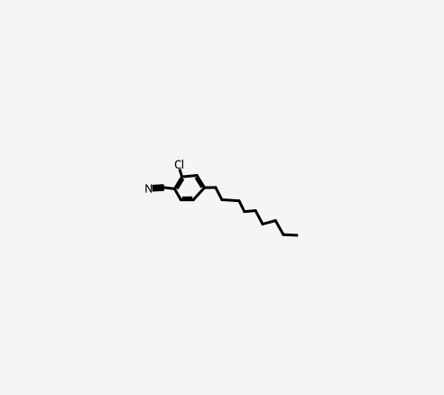 CCCCCCCCCc1ccc(C#N)c(Cl)c1